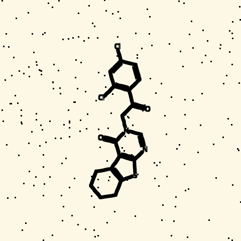 O=C(Cn1cnc2sc3c(c2c1=O)CCCC3)c1ccc(Cl)cc1Cl